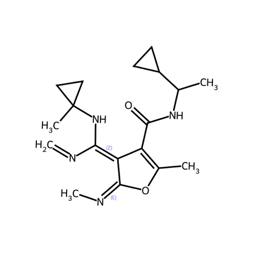 C=N/C(NC1(C)CC1)=C1/C(C(=O)NC(C)C2CC2)=C(C)O/C1=N/C